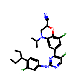 CCC(CC)c1ccc(Nc2ncc(F)c(-c3cc(F)c4c(c3)N(C(C)C)CC(C#N)O4)n2)cc1F